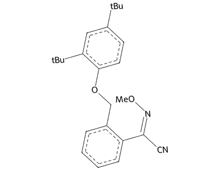 CO/N=C(/C#N)c1ccccc1COc1ccc(C(C)(C)C)cc1C(C)(C)C